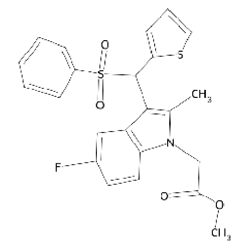 COC(=O)Cn1c(C)c(C(c2cccs2)S(=O)(=O)c2ccccc2)c2cc(F)ccc21